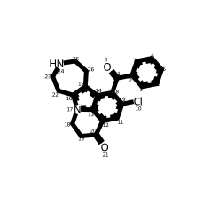 O=C(c1ccccc1)c1c(Cl)cc2c3c1c1c(n3CCC2=O)CCNCC1